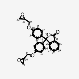 O=C1OC(c2ccc(OCC3CO3)cc2)(c2ccc(OCC3CO3)cc2)c2ccccc21